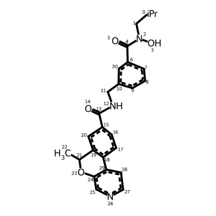 CC(C)CN(O)C(=O)c1cccc(CNC(=O)c2ccc3c(c2)C(C)Oc2cnccc2-3)c1